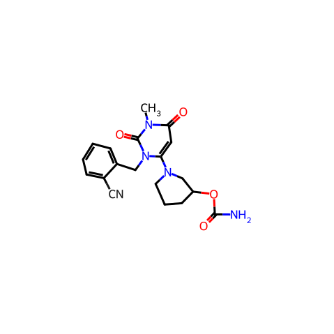 Cn1c(=O)cc(N2CCCC(OC(N)=O)C2)n(Cc2ccccc2C#N)c1=O